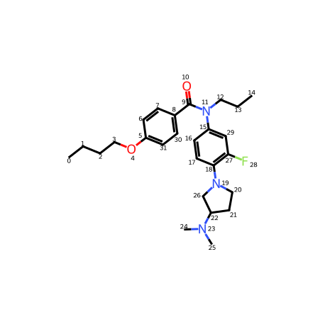 CCCCOc1ccc(C(=O)N(CCC)c2ccc(N3CCC(N(C)C)C3)c(F)c2)cc1